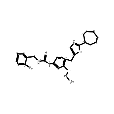 CC(C)(C)NSc1cc(NC(=O)NCc2ccccc2F)ccc1Cc1cnc(C2CCCCCC2)s1